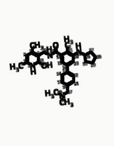 CC1=CC(C)=C(CNC(=O)c2cc(-c3ccc(CN(C)C)cc3)cc(NC3CCCC3)c2C)C(O)N1